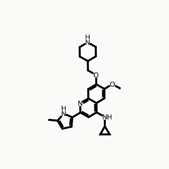 COc1cc2c(NC3CC3)cc(-c3ccc(C)[nH]3)nc2cc1OCC1CCNCC1